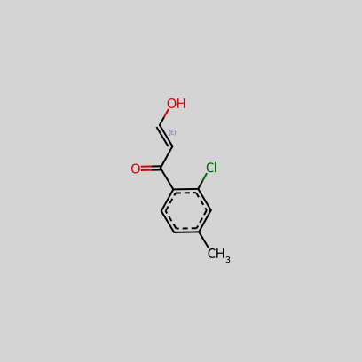 Cc1ccc(C(=O)/C=C/O)c(Cl)c1